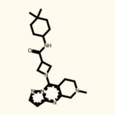 CN1CCc2c(nc3ccnn3c2N2CC(C(=O)NC3CCC(C)(C)CC3)C2)C1